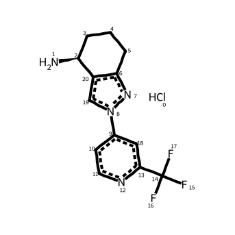 Cl.N[C@H]1CCCc2nn(-c3ccnc(C(F)(F)F)c3)cc21